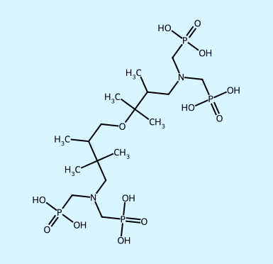 CC(COC(C)(C)C(C)CN(CP(=O)(O)O)CP(=O)(O)O)C(C)(C)CN(CP(=O)(O)O)CP(=O)(O)O